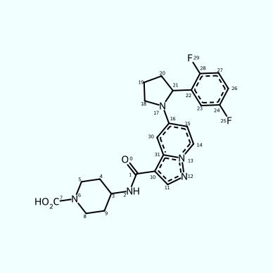 O=C(NC1CCN(C(=O)O)CC1)c1cnn2ccc(N3CCCC3c3cc(F)ccc3F)cc12